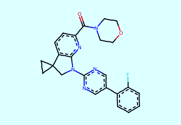 O=C(c1ccc2c(n1)N(c1ncc(-c3ccccc3F)cn1)CC21CC1)N1CCOCC1